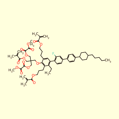 C=C(C)C(=O)OCCCc1cc(-c2ccc(-c3ccc(C4CCC(CCCCC)CC4)cc3)cc2F)c(CC)c(CCCOC(=O)C(=C)C)c1OCC(COC(=O)C(=C)C)(COC(=O)C(=O)OC)COC(=O)C(=O)OC